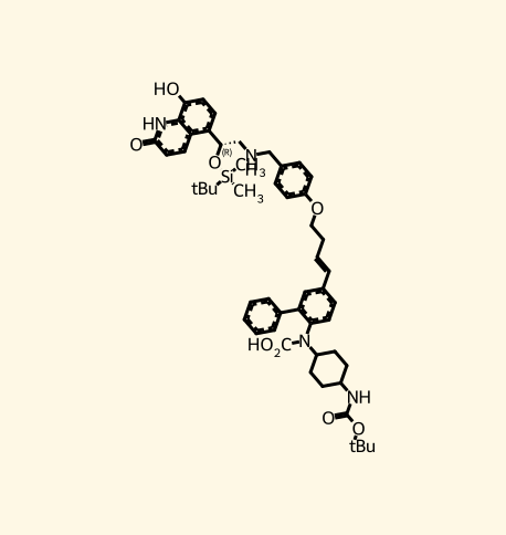 CC(C)(C)OC(=O)NC1CCC(N(C(=O)O)c2ccc(C=CCCOc3ccc(CNC[C@H](O[Si](C)(C)C(C)(C)C)c4ccc(O)c5[nH]c(=O)ccc45)cc3)cc2-c2ccccc2)CC1